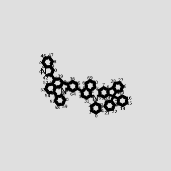 c1ccc(N(c2ccc3c(c2)C(c2ccccc2)(c2ccccc2)c2ccccc2-3)c2ccc(-c3ccc4c5cc(-c6cnc7ccccc7c6)c6cccc7c8ccccc8n(c4c3)c5c67)c3ccccc23)cc1